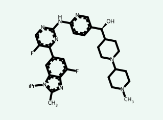 Cc1nc2c(F)cc(-c3nc(Nc4ccc([C@@H](O)C5CCN(C6CCN(C)CC6)CC5)cn4)ncc3F)cc2n1C(C)C